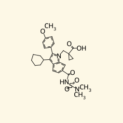 COc1ccc(-c2c(C3CCCCC3)c3ccc(C(=O)NS(=O)(=O)N(C)C)cc3n2CC2(C(=O)O)CC2)cc1